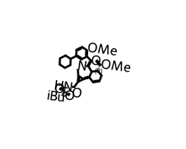 CCC(C)S(=O)(=O)NC(=O)C1=C2Cn3c(cc4c(OC)ccc(C5CCCCC5)c43)C3C(=C21)C=CC[C@H]3C(=O)OC